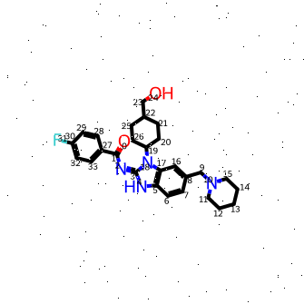 O=C(/N=c1/[nH]c2ccc(CN3CCCCC3)cc2n1C1CCC(CO)CC1)c1ccc(F)cc1